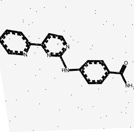 NC(=O)c1ccc(Nc2nccc(-c3ccccn3)n2)cc1